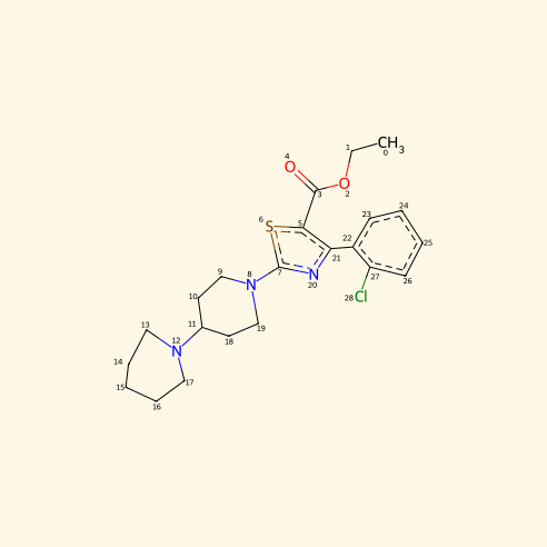 CCOC(=O)c1sc(N2CCC(N3CCCCC3)CC2)nc1-c1ccccc1Cl